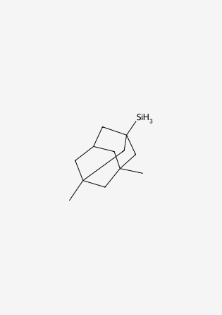 CC12CC3CC(C)(C1)CC([SiH3])(C3)C2